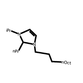 CCCCCCCCCCCN1C=CN(C(C)C)C1CCC